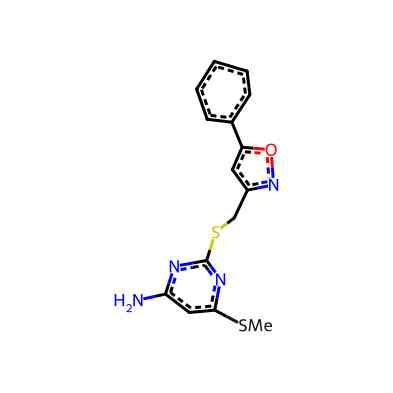 CSc1cc(N)nc(SCc2cc(-c3ccccc3)on2)n1